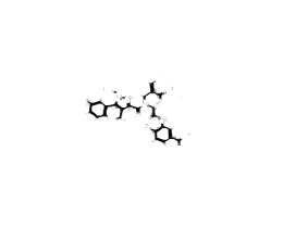 C=C(F)/C(=C\C)CN(CC(=O)Nc1cc(C(=O)Cl)ccc1F)C(=O)c1nn(C)c2c1COc1ccc(F)cc1-2